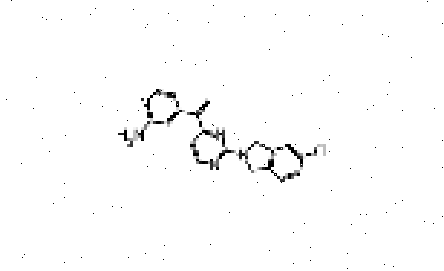 C=C(c1ccnc(N)c1)c1ccnc(N2Cc3ccc(Cl)cc3C2)n1